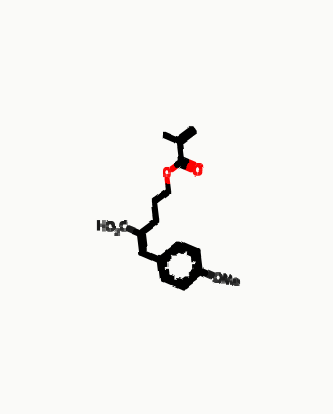 C=C(C)C(=O)OCCCC(=Cc1ccc(OC)cc1)C(=O)O